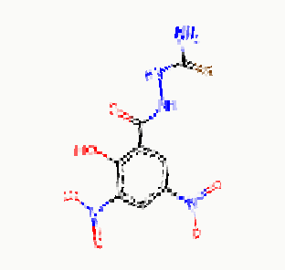 NC(=S)NNC(=O)c1cc([N+](=O)[O-])cc([N+](=O)[O-])c1O